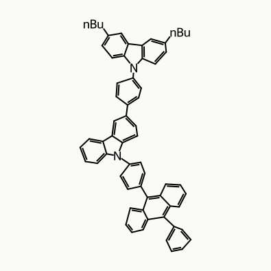 CCCCc1ccc2c(c1)c1cc(CCCC)ccc1n2-c1ccc(-c2ccc3c(c2)c2ccccc2n3-c2ccc(-c3c4ccccc4c(-c4ccccc4)c4ccccc34)cc2)cc1